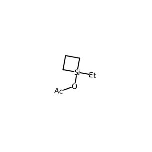 CC[Si]1(OC(C)=O)CCC1